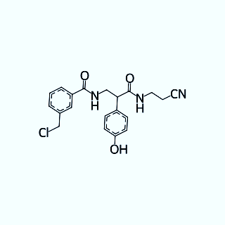 N#CCCNC(=O)C(CNC(=O)c1cccc(CCl)c1)c1ccc(O)cc1